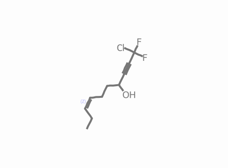 CC/C=C\CCC(O)C#CC(F)(F)Cl